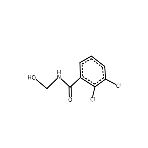 O=C(NCO)c1cccc(Cl)c1Cl